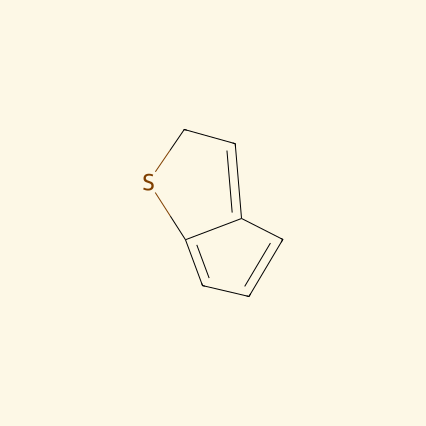 C1=CC2=CCSC2=C1